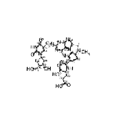 CN(Cc1cnc2nc(N)nc(N)c2n1)c1ccc(C(=O)N[C@@H](CCC(=O)O)C(=O)O)cc1.Cc1cn([C@H]2C[C@H](O)[C@@H](CO)O2)c(=O)[nH]c1=O